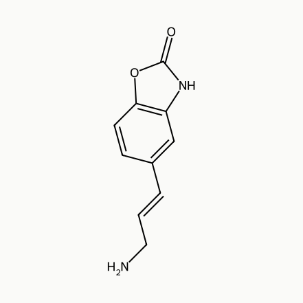 NC/C=C/c1ccc2oc(=O)[nH]c2c1